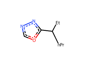 CCCC(CC)c1nnco1